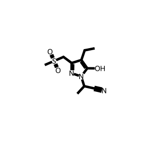 CCc1c(CS(C)(=O)=O)nn(C(C)C#N)c1O